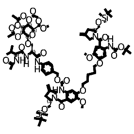 C=C1C[C@@H](CO[Si](C)(C)C(C)(C)C)N(C(=O)c2cc(OC)c(OCCCCCOc3cc(NC(=O)OC(C)(C)C)c(C(=O)N4CC(=C)C[C@H]4CO[Si](C)(C)C(C)(C)C)cc3OC)cc2NC(=O)OCc2ccc(NC(=O)[C@H](CO[C@@H]3O[C@H](C(=O)OC)[C@@H](OC(C)=O)[C@H](OC(C)=O)[C@H]3OC(C)=O)NC(=O)[C@@H](NC(C)=O)C(C)C)cc2)C1